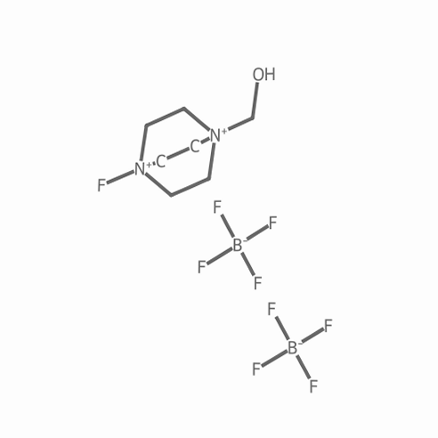 F[B-](F)(F)F.F[B-](F)(F)F.OC[N+]12CC[N+](F)(CC1)CC2